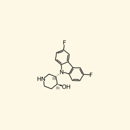 O[C@H]1CCNC[C@@H]1n1c2ccc(F)cc2c2cc(F)ccc21